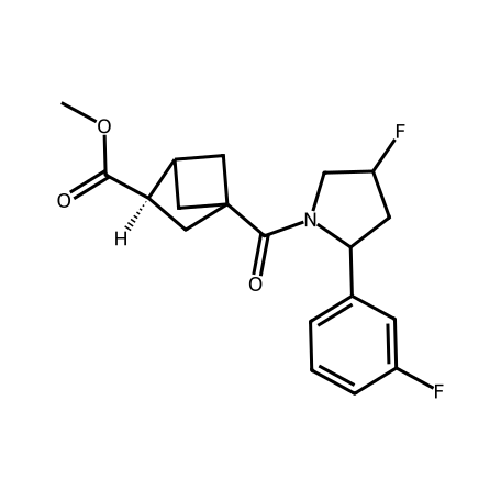 COC(=O)[C@@H]1CC2(C(=O)N3CC(F)CC3c3cccc(F)c3)CC1C2